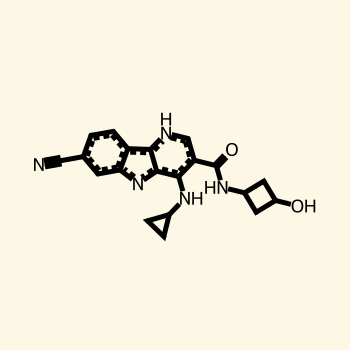 N#Cc1ccc2c3[nH]cc(C(=O)NC4CC(O)C4)c(NC4CC4)c-3nc2c1